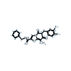 CC1=C2OC(C(=O)NCc3ccccc3)=CN2C(=O)C(Cc2ccc(F)c(F)c2)C1=O